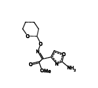 COC(=O)C(=NOC1CCCCO1)c1coc(N)n1